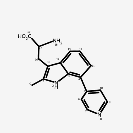 Cc1[nH]c2c(-c3ccncc3)cccc2c1CC(N)C(=O)O